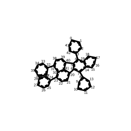 c1ccc(-c2c3c(c(-c4ccccc4)c4ccccc24)-c2ccc(-c4ccccc4)c4c(-c5ccccc5)ccc-3c24)cc1